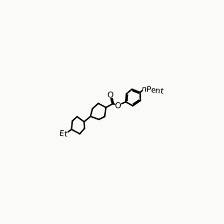 CCCCCc1ccc(OC(=O)C2CCC(C3CCC(CC)CC3)CC2)cc1